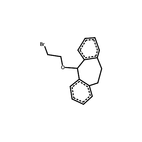 BrCCOC1c2ccccc2CCc2ccccc21